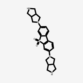 O=S1(=O)c2cc(N3CC4CNCC4C3)ccc2-c2ccc(N3CC4CNCC4C3)cc21